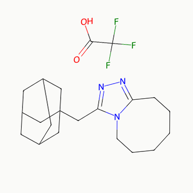 C1CCCn2c(nnc2CC23CC4CC(CC(C4)C2)C3)CC1.O=C(O)C(F)(F)F